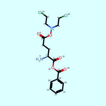 N[C@@H](CCC(=O)ON(CCCl)CCCl)C(=O)OC(=O)c1ccccc1